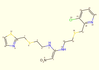 O=[N+]([O-])C=C(NCCSCc1nccs1)NCCSCc1ncccc1Cl